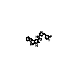 Cc1[nH]c(=O)c(-c2cc3ccccc3[nH]2)cc1C(=O)Nc1cnn(Cc2ccc(F)c(F)c2)c1